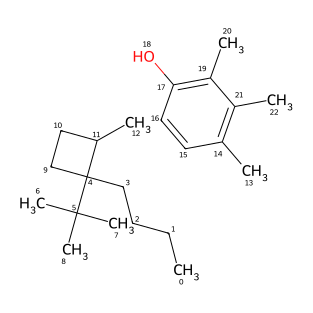 CCCCC1(C(C)(C)C)CCC1C.Cc1ccc(O)c(C)c1C